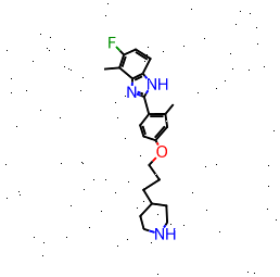 Cc1cc(OCCCC2CCNCC2)ccc1-c1nc2c(C)c(F)ccc2[nH]1